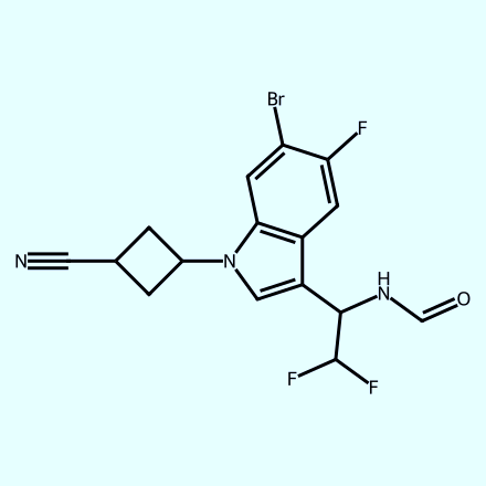 N#CC1CC(n2cc(C(NC=O)C(F)F)c3cc(F)c(Br)cc32)C1